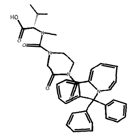 CC(C)[C@@H](C(=O)O)N(C)C(=O)N1CCN(C(=O)C2=CC=CC=CN2C(c2ccccc2)(c2ccccc2)c2ccccc2)C(=O)C1